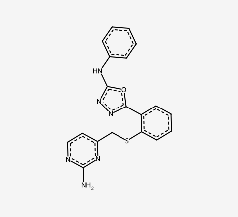 Nc1nccc(CSc2ccccc2-c2nnc(Nc3ccccc3)o2)n1